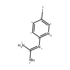 CC(C)(C)C(N)=Nc1ccc(I)cn1